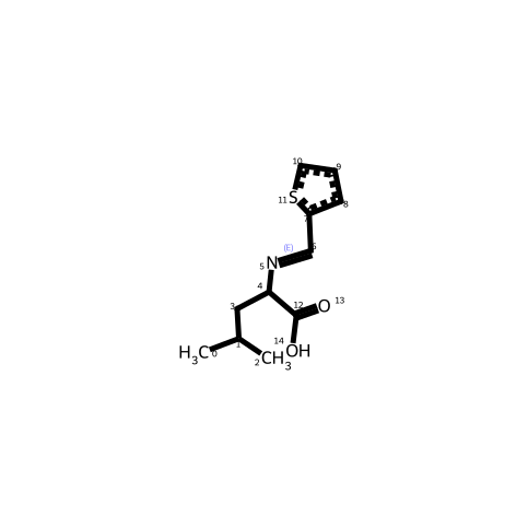 CC(C)CC(/N=C/c1cccs1)C(=O)O